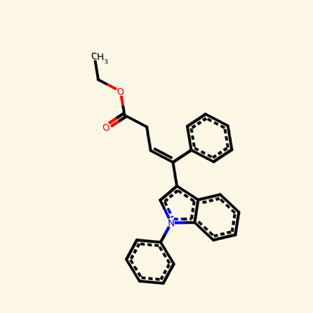 CCOC(=O)CC=C(c1ccccc1)c1cn(-c2ccccc2)c2ccccc12